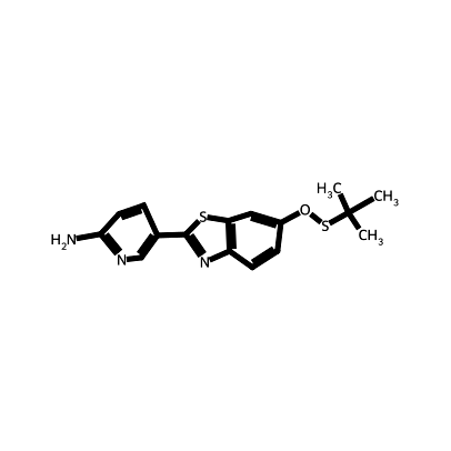 CC(C)(C)SOc1ccc2nc(-c3ccc(N)nc3)sc2c1